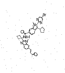 CC(=O)/C=C/c1ccc2nc(C3(NC(=O)c4ccc5c(C6CCCC6)c(-c6ncc(Br)cn6)n(C)c5c4)CCC3)n(C)c2c1